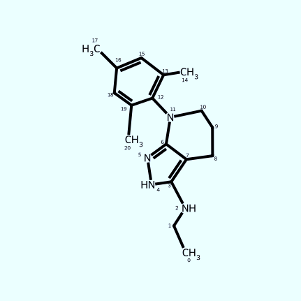 CCNc1[nH]nc2c1CCCN2c1c(C)cc(C)cc1C